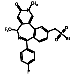 CCS(=O)(=O)Cc1ccc2c(c1)-c1cn(C)c(=O)cc1[C@H](C(F)(F)F)N=C2c1ccc(F)cc1